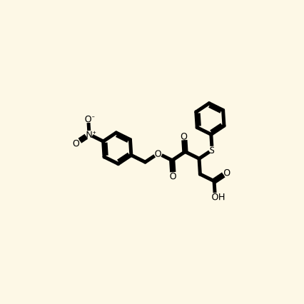 O=C(O)CC(Sc1ccccc1)C(=O)C(=O)OCc1ccc([N+](=O)[O-])cc1